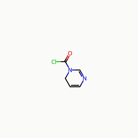 O=C(Cl)N1C=NC=CC1